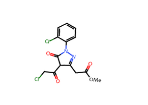 COC(=O)CC1=NN(c2ccccc2Cl)C(=O)C1C(=O)CCl